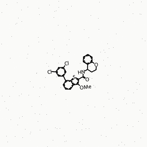 COc1c(C(=O)NC2CCOc3ccccc32)sc2c(-c3cc(Cl)cc(Cl)c3)cccc12